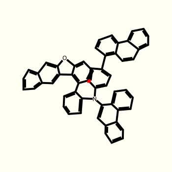 c1ccc(N(c2ccc(-c3cccc4c3ccc3ccccc34)cc2)c2cc3ccccc3c3ccccc23)c(-c2cccc3oc4cc5ccccc5cc4c23)c1